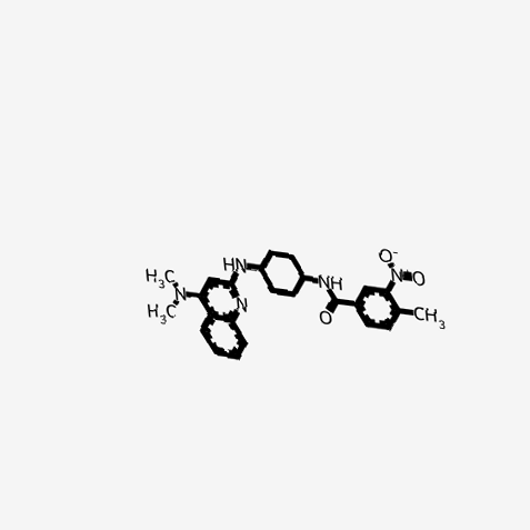 Cc1ccc(C(=O)NC2CCC(Nc3cc(N(C)C)c4ccccc4n3)CC2)cc1[N+](=O)[O-]